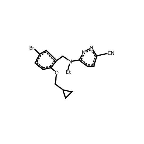 CCN(Cc1cc(Br)ccc1OCC1CC1)c1ccc(C#N)nn1